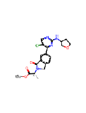 C[C@H](C(=O)OC(C)(C)C)N1Cc2ccc(-c3nc(NC4CCOC4)ncc3Cl)cc2C1=O